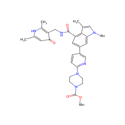 CCC(C)n1cc(C)c2c(C(=O)NCc3c(C)[nH]c(C)cc3=O)cc(-c3ccc(N4CCN(C(=O)OC(C)(C)C)CC4)nc3)cc21